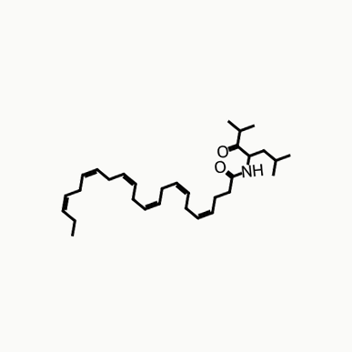 CC/C=C\C/C=C\C/C=C\C/C=C\C/C=C\C/C=C\CCC(=O)NC(CC(C)C)C(=O)C(C)C